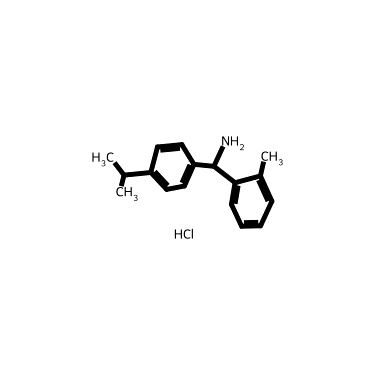 Cc1ccccc1C(N)c1ccc(C(C)C)cc1.Cl